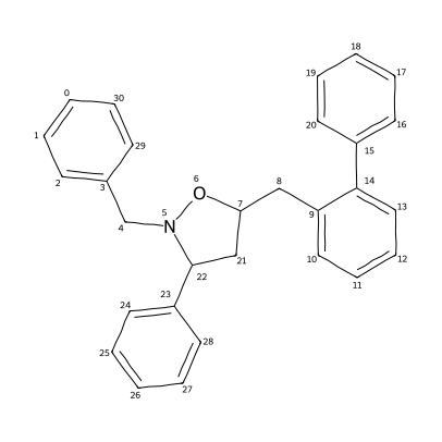 c1ccc(CN2OC(Cc3ccccc3-c3ccccc3)CC2c2ccccc2)cc1